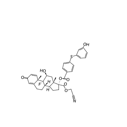 C[C@]12C=CC(=O)C=C1CC[C@H]1[C@@H]3CC[C@](OC(=O)c4ccc(Sc5cccc(O)c5)cc4)(C(=O)OCC#N)[C@@]3(C)C[C@H](O)[C@@]12F